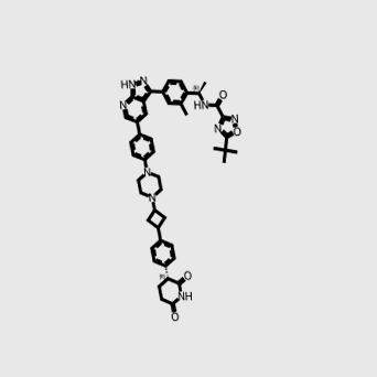 Cc1cc(-c2n[nH]c3ncc(-c4ccc(N5CCN(C6CC(c7ccc([C@H]8CCC(=O)NC8=O)cc7)C6)CC5)cc4)cc23)ccc1[C@@H](C)NC(=O)c1noc(C(C)(C)C)n1